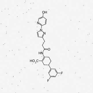 O=C(CCc1ccn(-c2ccc(O)cn2)n1)NC1=C(C(=O)O)CC(c2cc(F)cc(F)c2)CC1